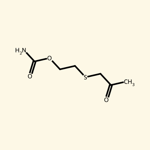 CC(=O)CSCCOC(N)=O